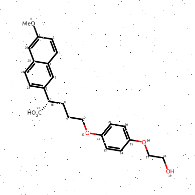 COc1ccc2cc([C@H](CCCOc3ccc(OCCO)cc3)C(=O)O)ccc2c1